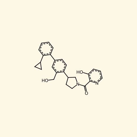 O=C(c1ncccc1O)N1CCC(c2ccc(-c3ccccc3C3CC3)cc2CO)C1